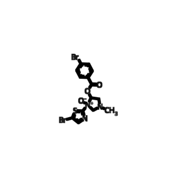 CN1CC(OC(=O)c2ccc(Br)cc2)[N+]([O-])(c2ncc(Br)s2)C1